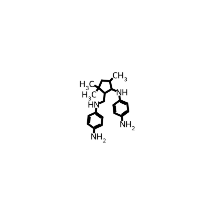 CC1CC(C)(C)C(CNc2ccc(N)cc2)C1Nc1ccc(N)cc1